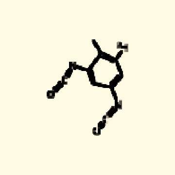 [2H]c1cc(N=C=O)cc(N=C=O)c1C